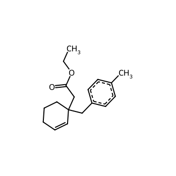 CCOC(=O)CC1(Cc2ccc(C)cc2)C=CCCC1